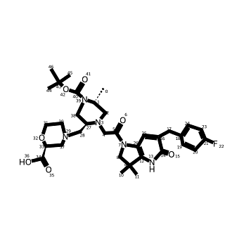 C[C@@H]1CN(CC(=O)N2CC(C)(C)c3[nH]c(=O)c(Cc4ccc(F)cc4)cc32)[C@@H](CN2CCO[C@H](C(=O)O)C2)CN1C(=O)OC(C)(C)C